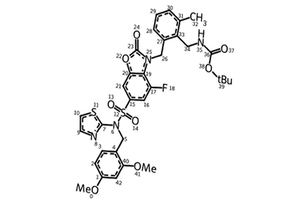 COc1ccc(CN(c2nccs2)S(=O)(=O)c2cc(F)c3c(c2)oc(=O)n3Cc2cccc(C)c2CNC(=O)OC(C)(C)C)c(OC)c1